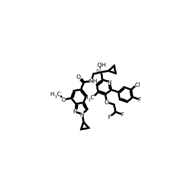 COc1cc(C(=O)NC[C@](O)(c2cc(C)c(OCC(F)F)c(-c3ccc(F)c(Cl)c3)n2)C2CC2)cc2cn(C3CC3)nc12